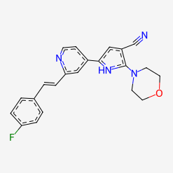 N#Cc1cc(-c2ccnc(/C=C/c3ccc(F)cc3)c2)[nH]c1N1CCOCC1